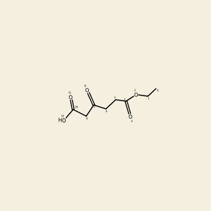 CCOC(=O)CCC(=O)CC(=O)O